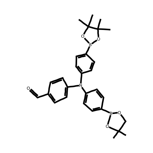 CC1(C)COB(c2ccc(N(c3ccc(C=O)cc3)c3ccc(B4OC(C)(C)C(C)(C)O4)cc3)cc2)O1